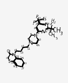 CC(C)(C)c1nc(N2CCN(CCCCN3C(=O)CSc4ccccc43)CC2)cc(C(F)(F)F)n1